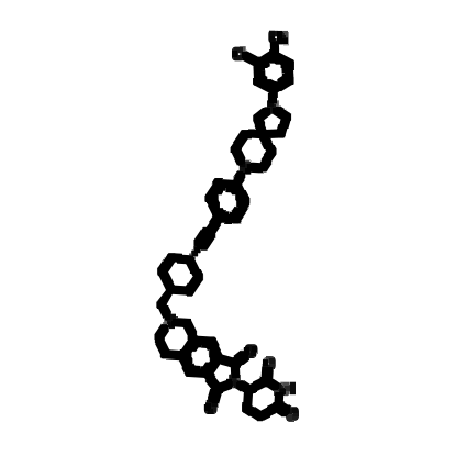 N#Cc1ccc(N2CCC3(CCN(c4ccc(C#C[C@H]5CC[C@H](CN6CCc7cc8c(cc7C6)C(=O)N(C6CCC(=O)NC6=O)C8=O)CC5)cc4)CC3)C2)cc1Cl